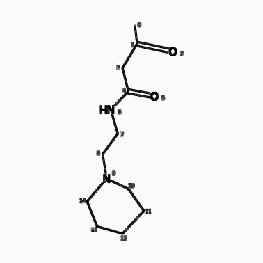 CC(=O)CC(=O)NCCN1CCCCC1